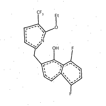 CCOc1nc(Cc2ccc3c(F)ccc(F)c3c2O)ccc1C(F)(F)F